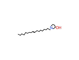 CCCCCCCCC=CCCCCCCCCN1CCCC(O)C1